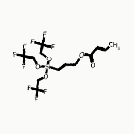 CC=CC(=O)OCCC[Si](OCC(F)(F)F)(OCC(F)(F)F)OCC(F)(F)F